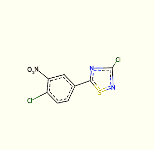 O=[N+]([O-])c1cc(-c2nc(Cl)ns2)ccc1Cl